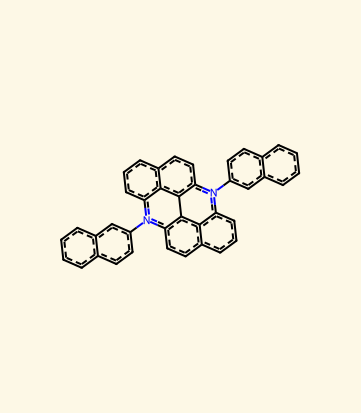 c1ccc2cc(-n3c4ccc5cccc6c5c4-c4c5c(cccc53)ccc4n6-c3ccc4ccccc4c3)ccc2c1